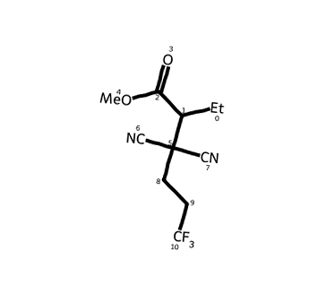 CCC(C(=O)OC)C(C#N)(C#N)CCC(F)(F)F